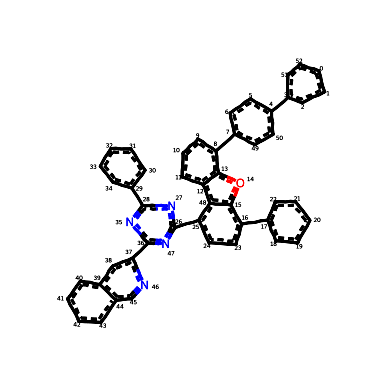 c1ccc(-c2ccc(-c3cccc4c3oc3c(-c5ccccc5)ccc(-c5nc(-c6ccccc6)nc(-c6cc7ccccc7cn6)n5)c34)cc2)cc1